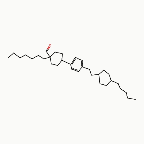 CCCCCCCC1(C=O)CCC(c2ccc(CCC3CCC(CCCCC)CC3)cc2)CC1